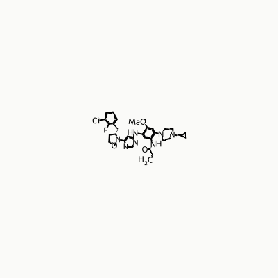 C=CC(=O)Nc1cc(Nc2cc(N3OCC[C@@H]3Cc3cccc(Cl)c3F)ncn2)c(OC)cc1N1CCN(C2CC2)CC1